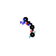 Nc1ncccc1-c1cc(Cc2ccc(COc3cc(F)ccc3F)cc2)no1